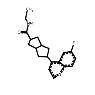 CCNC(=O)C1CC2CC(c3ccnc4ccc(F)cc34)CC2C1